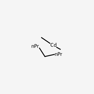 CCCCCCC.[CH3][Cd][CH3]